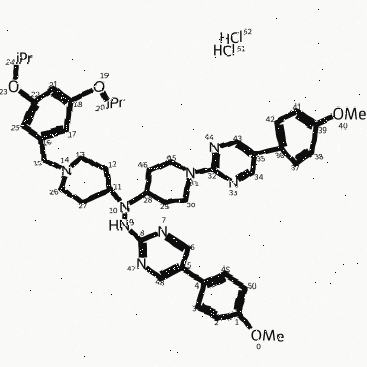 COc1ccc(-c2cnc(NN(C3CCN(Cc4cc(OC(C)C)cc(OC(C)C)c4)CC3)C3CCN(c4ncc(-c5ccc(OC)cc5)cn4)CC3)nc2)cc1.Cl.Cl